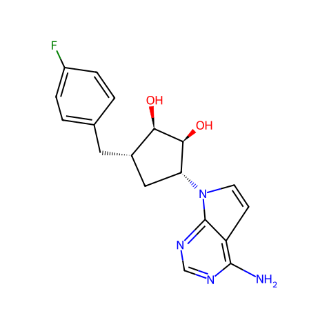 Nc1ncnc2c1ccn2[C@@H]1C[C@H](Cc2ccc(F)cc2)[C@@H](O)[C@H]1O